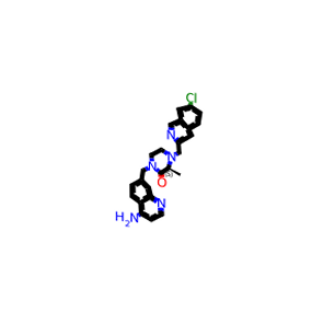 C[C@H]1C(=O)N(Cc2ccc3c(N)ccnc3c2)CCN1Cc1cc2ccc(Cl)cc2cn1